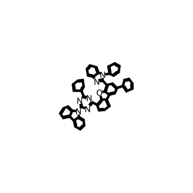 c1ccc(-c2cc(-c3nc4ccccc4n3-c3ccccc3)c3oc4c(-c5nc(-c6ccccc6)nc(-n6c7ccccc7c7ccccc76)n5)cccc4c3c2)cc1